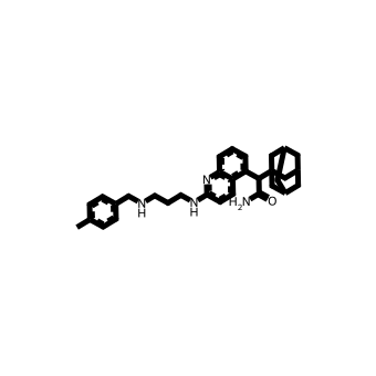 Cc1ccc(CNCCCNc2ccc3c(C(C(N)=O)C45CC6CC(CC(C6)C4)C5)cccc3n2)cc1